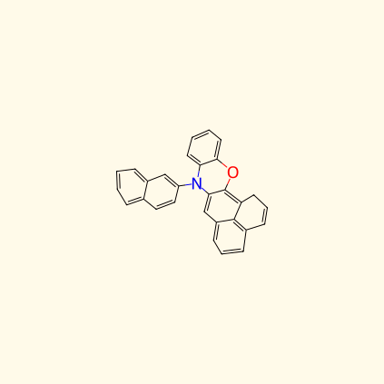 C1=Cc2cccc3cc4c(c(c23)C1)Oc1ccccc1N4c1ccc2ccccc2c1